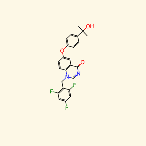 CC(C)(O)c1ccc(Oc2ccc3c(c2)c(=O)ncn3Cc2c(F)cc(F)cc2F)cc1